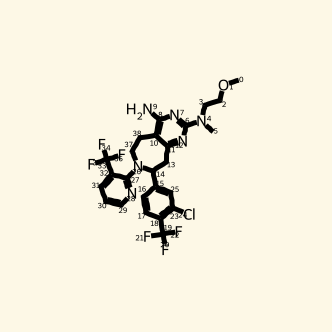 COCCN(C)c1nc(N)c2c(n1)CC(c1ccc(C(F)(F)F)c(Cl)c1)N(c1ncccc1C(F)(F)F)CC2